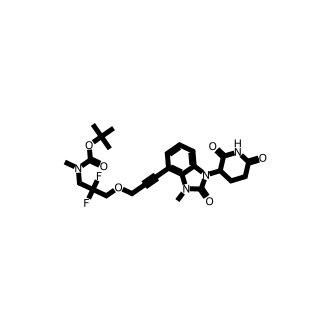 CN(CC(F)(F)COCC#Cc1cccc2c1n(C)c(=O)n2C1CCC(=O)NC1=O)C(=O)OC(C)(C)C